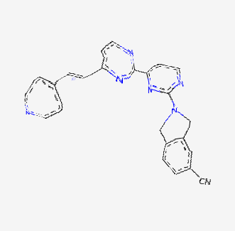 N#Cc1ccc2c(c1)CN(c1nccc(-c3nccc(/C=C/c4ccncc4)n3)n1)C2